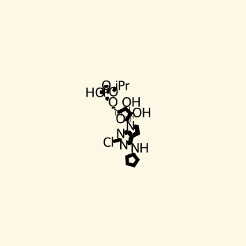 CC(C)OP(=O)(O)COC[C@H]1O[C@@H](n2ccc3c(NC4CCCC4)nc(Cl)nc32)[C@H](O)[C@@H]1O